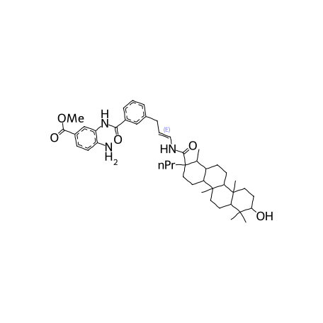 CCCC1(C(=O)N/C=C/Cc2cccc(C(=O)Nc3cc(C(=O)OC)ccc3N)c2)CCC2C(CCC3C2(C)CCC2C(C)(C)C(O)CCC23C)C1C